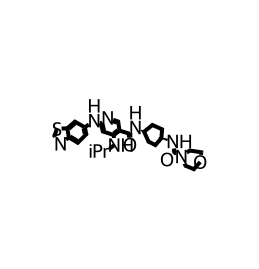 CC(C)Nc1cc(Nc2ccc3ncsc3c2)ncc1C(=O)N[C@H]1CC[C@H](NC(=O)N2CCOCC2)CC1